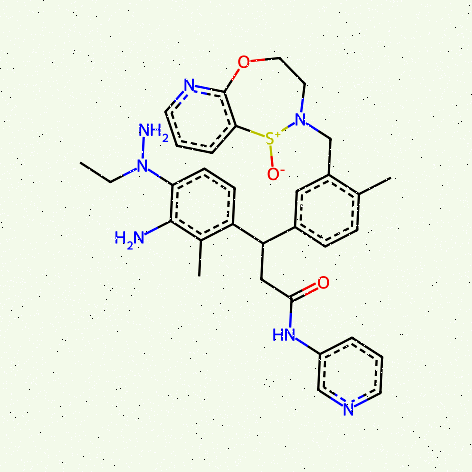 CCN(N)c1ccc(C(CC(=O)Nc2cccnc2)c2ccc(C)c(CN3CCOc4ncccc4[S+]3[O-])c2)c(C)c1N